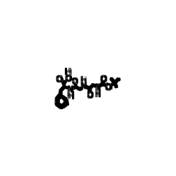 CC(C)(C)OC(=O)NCC(=O)NCC(=O)NC(Cc1ccccc1)C(=O)O